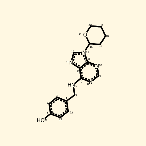 Oc1ccc(CNc2ncnc3c2ncn3C2CCCCO2)cc1